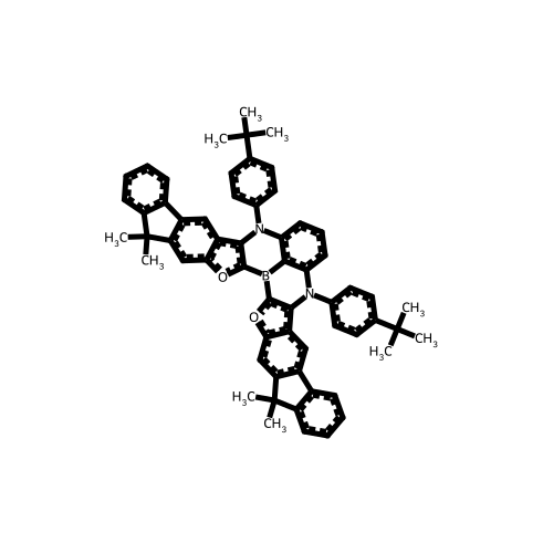 CC(C)(C)c1ccc(N2c3cccc4c3B(c3oc5cc6c(cc5c32)-c2ccccc2C6(C)C)c2oc3cc5c(cc3c2N4c2ccc(C(C)(C)C)cc2)-c2ccccc2C5(C)C)cc1